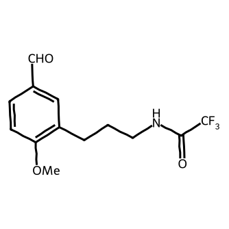 COc1ccc(C=O)cc1CCCNC(=O)C(F)(F)F